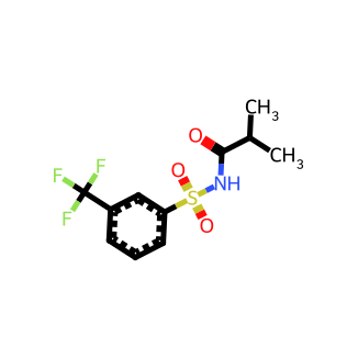 CC(C)C(=O)NS(=O)(=O)c1cccc(C(F)(F)F)c1